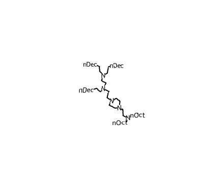 CCCCCCCCCCCCN(CCCCCCCCCCCC)CCN(CCCCCCCCCCCC)CCN1CCN(CCN(CCCCCCCC)CCCCCCCC)CC1